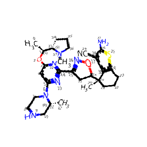 C[C@H](Oc1cc(N2CCNC[C@H]2C)nc(C2=NOC([C@@]3(C)CCCc4sc(N)c(C#N)c43)C2)n1)[C@@H]1CCCN1C